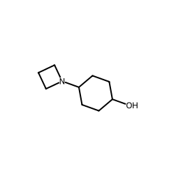 OC1CCC(N2CCC2)CC1